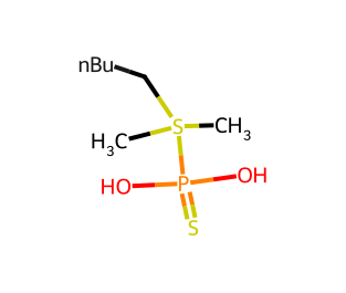 CCCCCS(C)(C)P(O)(O)=S